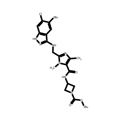 Cc1nc(CNc2n[nH]c3cc(Cl)c(C(C)(C)C)cc23)n(C)c1C(=O)NC1CN(C(=O)OC(C)(C)C)C1